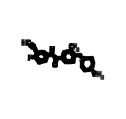 C#Cc1cc(NC(=O)c2ccc(CN3CCN(C)CC3)c(C(F)(F)F)c2)ccc1F